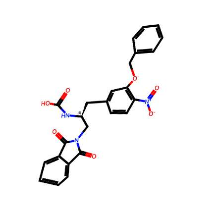 O=C(O)N[C@@H](Cc1ccc([N+](=O)[O-])c(OCc2ccccc2)c1)CN1C(=O)c2ccccc2C1=O